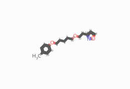 Cc1ccc(OCCCCCOCCc2ccon2)cc1